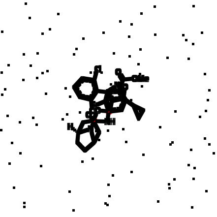 COC(=O)c1ccc(NC(=O)N2C3CC[C@H]2CC(OCc2c(-c4c(Cl)cccc4Cl)noc2C2CC2)C3)c(F)c1